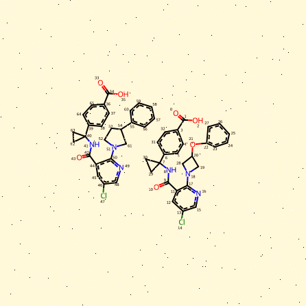 O=C(O)c1ccc(C2(NC(=O)c3cc(Cl)cnc3N3CC(Oc4ccccc4)C3)CC2)cc1.O=C(O)c1ccc(C2(NC(=O)c3cc(Cl)cnc3N3CCC(c4ccccc4)C3)CC2)cc1